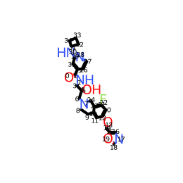 O=C(NCC(O)CN1CCc2cc(OCc3cnco3)cc(F)c2C1)c1ccnc(NC2CCC2)c1